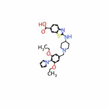 CCOc1cc(CN2CCC(Nc3nc4ccc(C(=O)O)cc4s3)CC2)cc(OCC)c1-n1cccc1